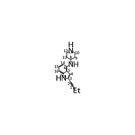 CCC#Cc1cc2c(NC3CCNCC3)cccc2[nH]1